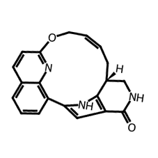 O=C1NC[C@H]2C/C=C\COc3ccc4cccc(c4n3)-c3cc1c2[nH]3